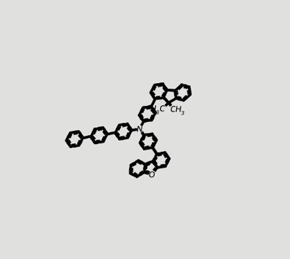 CC1(C)c2ccccc2-c2cccc(-c3ccc(N(c4ccc(-c5ccc(-c6ccccc6)cc5)cc4)c4ccc(-c5cccc6oc7ccccc7c56)cc4)cc3)c21